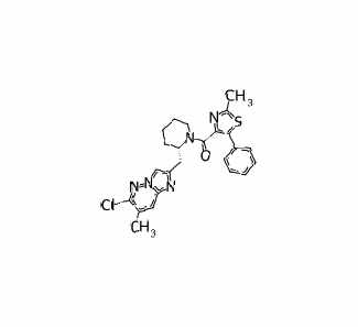 Cc1nc(C(=O)N2CCCC[C@H]2Cc2cn3nc(Cl)c(C)cc3n2)c(-c2ccccc2)s1